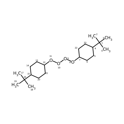 CC(C)(C)C1CCC(OOOOC2CCC(C(C)(C)C)CC2)CC1